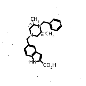 C[C@@H]1CN(Cc2ccc3[nH]c(C(=O)O)cc3c2)C[C@H](C)N1Cc1ccccc1